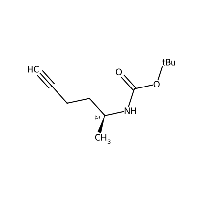 C#CCC[C@H](C)NC(=O)OC(C)(C)C